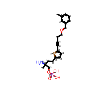 Cc1cccc(COCCC#Cc2ccc(CCC(C)(N)COP(=O)(O)O)s2)c1